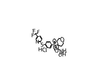 Cl.O=C(NO)C1(S(=O)(=O)c2ccc(Sc3ccc(C(F)(F)F)cn3)cc2)CCOCC1